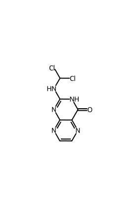 O=c1[nH]c(NC(Cl)Cl)nc2nccnc12